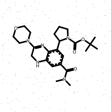 CN(C)C(=O)c1cc2c(c(C3CCCN3C(=O)OC(C)(C)C)c1)N=C(N1CCOCC1)CN2